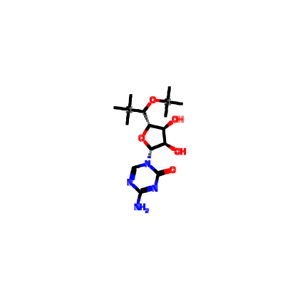 C[Si](C)(C)OC([C@H]1O[C@@H](n2cnc(N)nc2=O)[C@H](O)[C@@H]1O)[Si](C)(C)C